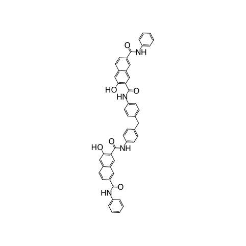 O=C(Nc1ccccc1)c1ccc2cc(O)c(C(=O)Nc3ccc(Cc4ccc(NC(=O)c5cc6cc(C(=O)Nc7ccccc7)ccc6cc5O)cc4)cc3)cc2c1